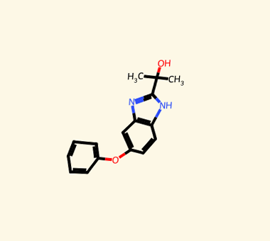 CC(C)(O)c1nc2cc(Oc3ccccc3)ccc2[nH]1